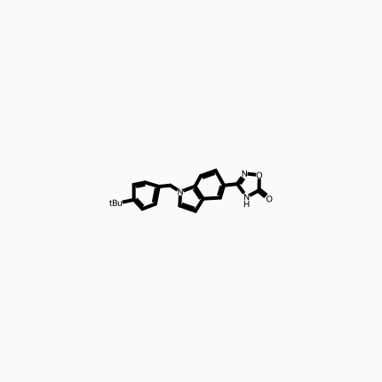 CC(C)(C)c1ccc(Cn2ccc3cc(-c4noc(=O)[nH]4)ccc32)cc1